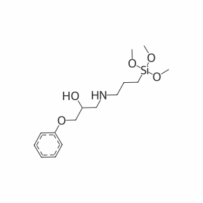 CO[Si](CCCNCC(O)COc1ccccc1)(OC)OC